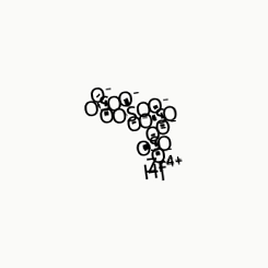 O=S(=O)([O-])[O-].O=S(=O)([O-])[O-].O=S(=O)([O-])[O-].O=S(=O)([O-])[O-].[Hf+4].[Zr+4]